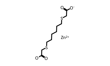 O=C([O-])CSCCCCCCSCC(=O)[O-].[Zn+2]